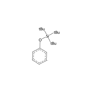 CC(C)(C)[Si](Oc1c[c]ccc1)(C(C)(C)C)C(C)(C)C